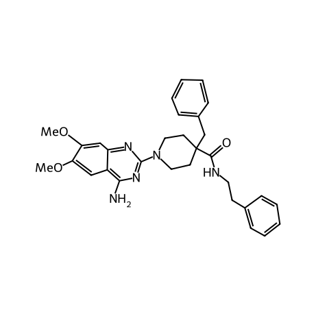 COc1cc2nc(N3CCC(Cc4ccccc4)(C(=O)NCCc4ccccc4)CC3)nc(N)c2cc1OC